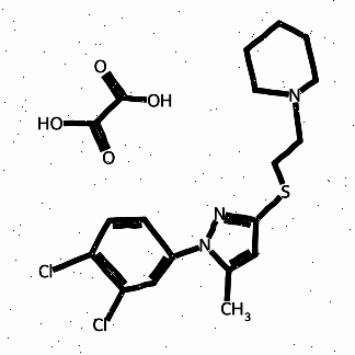 Cc1cc(SCCN2CCCCC2)nn1-c1ccc(Cl)c(Cl)c1.O=C(O)C(=O)O